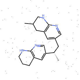 CC1CNc2ncc(C[C@H](C)c3cnc4c(c3)CCCN4)cc2C1